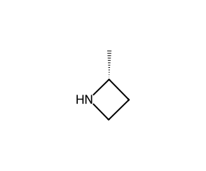 C[C@@H]1CCN1